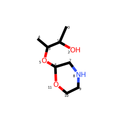 CC(O)C(C)OC1CNCCO1